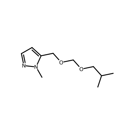 CC(C)COCOCc1ccnn1C